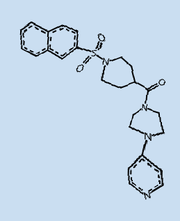 O=C(C1CCN(S(=O)(=O)c2ccc3ccccc3c2)CC1)N1CCN(c2ccncc2)CC1